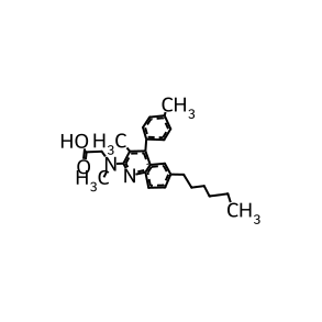 CCCCCCc1ccc2nc(N(C)CC(=O)O)c(C)c(-c3ccc(C)cc3)c2c1